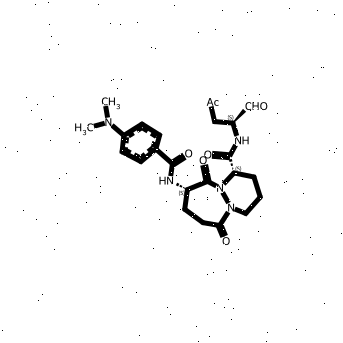 CC(=O)C[C@@H](C=O)NC(=O)[C@@H]1CCCN2C(=O)CC[C@H](NC(=O)c3ccc(N(C)C)cc3)C(=O)N12